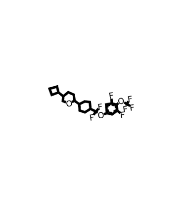 Fc1cc(OC(F)(F)C2CCC(C3CCC(C4CCC4)CO3)CC2)cc(F)c1OC(F)(F)F